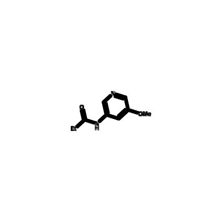 CCC(=O)Nc1cncc(OC)c1